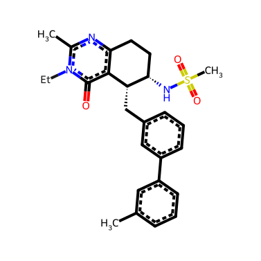 CCn1c(C)nc2c(c1=O)[C@@H](Cc1cccc(-c3cccc(C)c3)c1)[C@@H](NS(C)(=O)=O)CC2